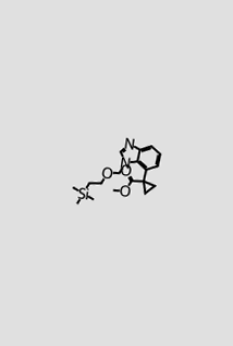 COC(=O)C1(c2cccc3ncn(COCC[Si](C)(C)C)c23)CC1